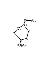 CCSN1C[CH]C(OC)CC1